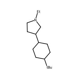 CCN1CCC(C2CCC(C(C)(C)C)CC2)C1